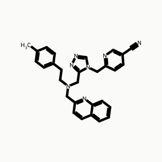 Cc1ccc(CCN(Cc2ccc3ccccc3n2)Cc2nncn2Cc2ccc(C#N)cn2)cc1